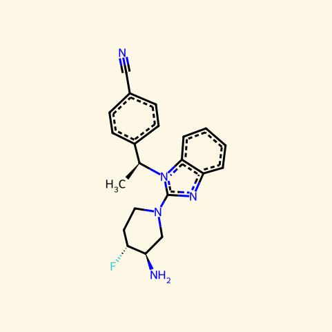 C[C@@H](c1ccc(C#N)cc1)n1c(N2CC[C@@H](F)[C@H](N)C2)nc2ccccc21